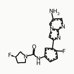 Nc1cnc2nc(-c3cc(NC(=O)N4CC[C@@H](F)C4)ccc3F)cn2c1